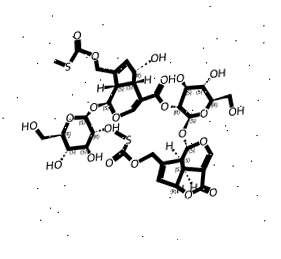 CSC(=O)OCC1=C[C@@H]2OC(=O)C3=CO[C@@H](O[C@@H]4O[C@H](CO)[C@@H](O)[C@H](O)[C@H]4OC(=O)C4=CO[C@@H](O[C@@H]5O[C@H](CO)[C@@H](O)[C@H](O)[C@H]5O)[C@@H]5C(COC(=O)SC)=C[C@H](O)[C@H]45)[C@H]1[C@@H]32